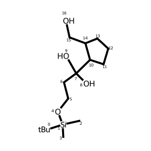 CC(C)(C)[Si](C)(C)OCCC(O)(O)C1CCCC1CO